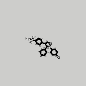 NS(=O)(=O)c1ccc(-c2cnn(-c3ccc(Cl)cc3)c2-c2ccccc2)cc1